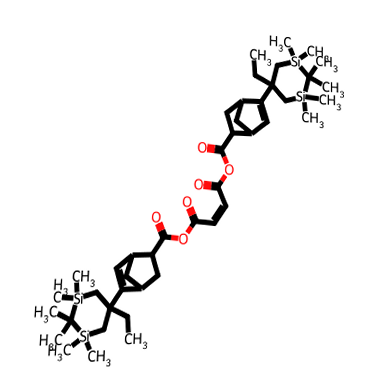 CCC1(C2=CC3CC2CC3C(=O)OC(=O)/C=C\C(=O)OC(=O)C2CC3CC2C=C3C2(CC)C[Si](C)(C)C(C)(C)[Si](C)(C)C2)C[Si](C)(C)C(C)(C)[Si](C)(C)C1